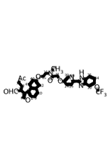 CC(=O)CCC(C=O)c1coc2ccc3cc(OCCN(C)C(=O)COc4ccc(-c5nc6cc(OC(F)(F)F)ccc6[nH]5)nc4)ccc3c12